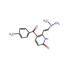 Cc1ccc(C(=O)c2ccc(=O)[nH]c2C=CN(C)C)cc1